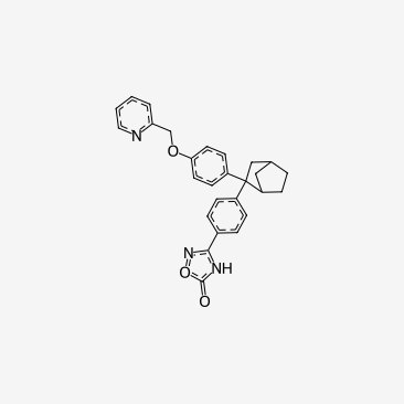 O=c1[nH]c(-c2ccc(C3(c4ccc(OCc5ccccn5)cc4)CC4CCC3C4)cc2)no1